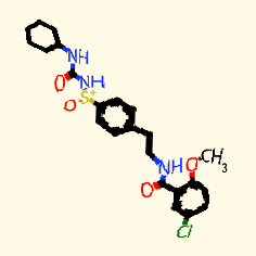 COc1ccc(Cl)cc1C(=O)NCCc1ccc([S+]([O-])NC(=O)NC2CCCCC2)cc1